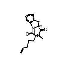 C=CCCC[C@@H](C=O)N(C)C(=O)[C@@H]1Cc2ccccc2N1